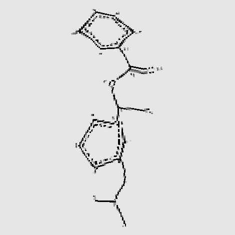 CC(C)Cc1ccc[n+](C(C)OC(=O)c2ccccc2)c1